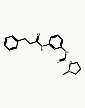 CN1CCC[C@H]1C(=O)Nc1cccc(NC(=O)CCc2ccccc2)c1